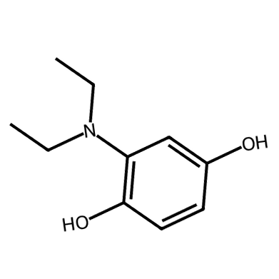 CCN(CC)c1cc(O)ccc1O